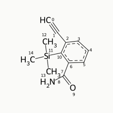 C#Cc1cccc(C(N)=O)c1[Si](C)(C)C